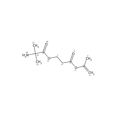 C=C(C)OC(=O)CCOC(=O)C(C)(C)N